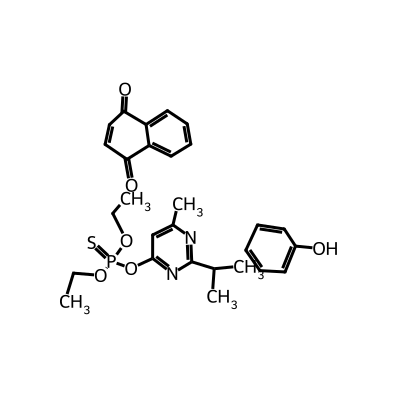 CCOP(=S)(OCC)Oc1cc(C)nc(C(C)C)n1.O=C1C=CC(=O)c2ccccc21.Oc1ccccc1